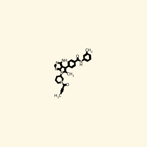 CC#CC(=O)N1CCCC(n2c(C)c(-c3ccc(C(=O)Nc4cccc(C)c4)cc3)c3c(N)ncnc32)C1